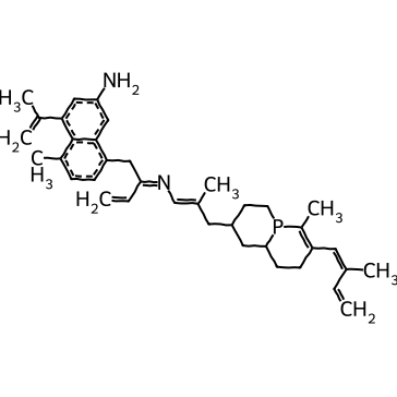 C=C/C(C)=C\C1=C(C)P2CCC(C/C(C)=C/N=C(\C=C)Cc3ccc(C)c4c(C(=C)C)cc(N)cc34)CC2CC1